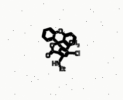 CCNc1cc(Cl)c(C)c2c1C(=O)OC21c2ccccc2Oc2ccccc21